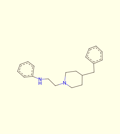 c1ccc(CC2CCN(CCNc3ccccc3)CC2)cc1